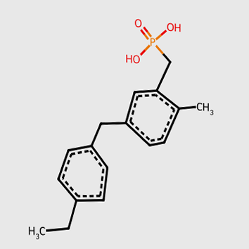 CCc1ccc(Cc2ccc(C)c(CP(=O)(O)O)c2)cc1